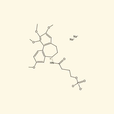 COc1ccc2c(c1)[C@@H](NC(=O)CCCOP(=O)([O-])[O-])CCc1cc(OC)c(OC)c(OC)c1-2.[Na+].[Na+]